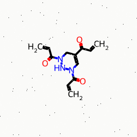 C=CC(=O)C1=CN(C(=O)C=C)NN(C(=O)C=C)C1